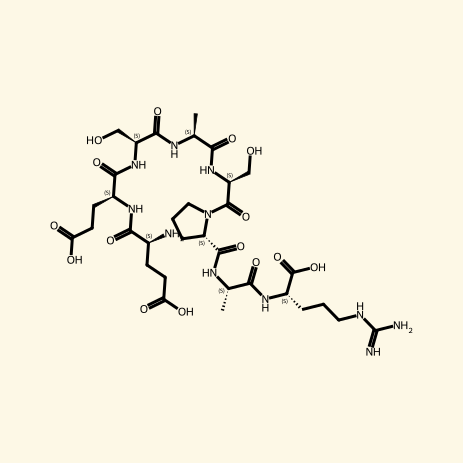 C[C@H](NC(=O)[C@H](CO)NC(=O)[C@H](CCC(=O)O)NC(=O)[C@@H](N)CCC(=O)O)C(=O)N[C@@H](CO)C(=O)N1CCC[C@H]1C(=O)N[C@@H](C)C(=O)N[C@@H](CCCNC(=N)N)C(=O)O